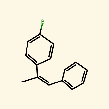 CC(=Cc1ccccc1)c1ccc(Br)cc1